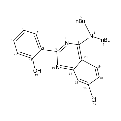 CCCCN(CCCC)c1nc(-c2ccccc2O)nc2cc(Cl)ccc12